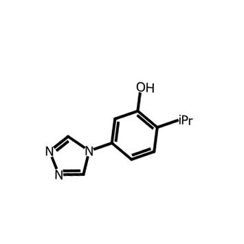 CC(C)c1ccc(-n2cnnc2)cc1O